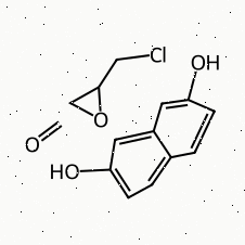 C=O.ClCC1CO1.Oc1ccc2ccc(O)cc2c1